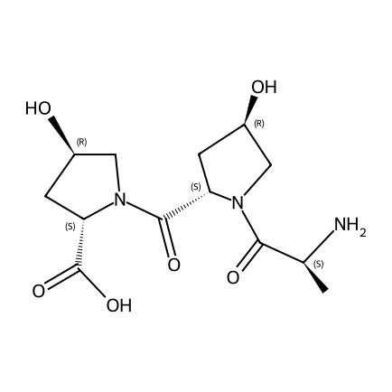 C[C@H](N)C(=O)N1C[C@H](O)C[C@H]1C(=O)N1C[C@H](O)C[C@H]1C(=O)O